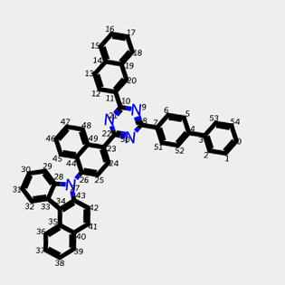 c1ccc(-c2ccc(-c3nc(-c4ccc5ccccc5c4)nc(-c4ccc(-n5c6ccccc6c6c7ccccc7ccc65)c5ccccc45)n3)cc2)cc1